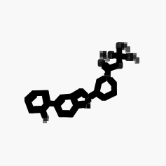 CC(C)(C)OC(=O)N1CCCC(n2cc3cc(-c4ccccc4F)ccc3n2)C1